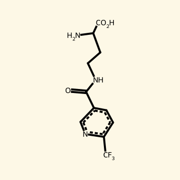 NC(CCNC(=O)c1ccc(C(F)(F)F)nc1)C(=O)O